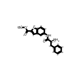 CC(C)(C)OC(=O)c1cc2cc(NC(=O)[C@@H](N)Cc3ccccc3)ccc2s1